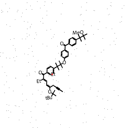 CC#CC/C(=C\C=C(/CC)C(=O)C(/C=C\C(=C/C)C(C)(C)C(C)(C)Oc1ccc(C(=O)c2ccc(C(C)(C)C(C)(C)OC)cc2)cc1)=C/CC)OC(C)(C)C(C)(C)C